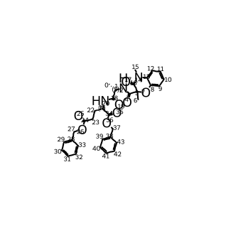 C[C@H](NC(=O)C1(C)Oc2ccccc2N(C)C1=O)C(=O)N[C@H](CCC(=O)OCc1ccccc1)C(=O)OCc1ccccc1